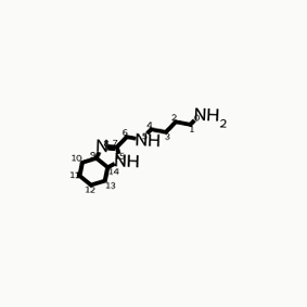 NCCCCNCC1=NC2CCCCC2N1